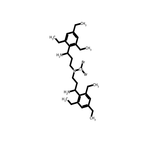 CCc1cc(CC)c(C(N)CC[N](CCC(N)c2c(CC)cc(CC)cc2CC)[Co]([Br])[Br])c(CC)c1